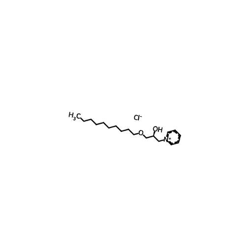 CCCCCCCCCCOC[C@@H](O)C[n+]1ccccc1.[Cl-]